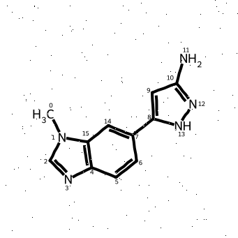 Cn1cnc2ccc(-c3cc(N)n[nH]3)cc21